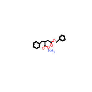 NOC(=O)C(CC(=O)OCc1ccccc1)Cc1ccccc1